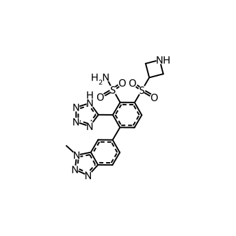 Cn1nnc2ccc(-c3ccc(S(=O)(=O)C4CNC4)c(S(N)(=O)=O)c3-c3nnn[nH]3)cc21